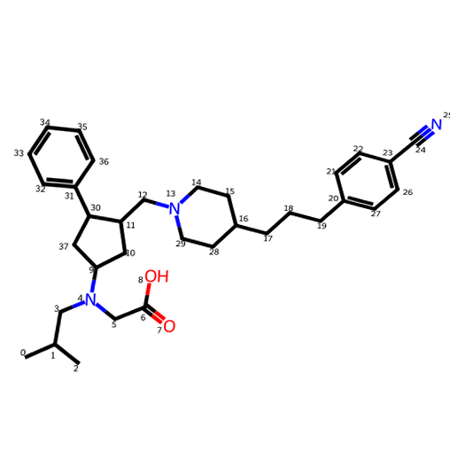 CC(C)CN(CC(=O)O)C1CC(CN2CCC(CCCc3ccc(C#N)cc3)CC2)C(c2ccccc2)C1